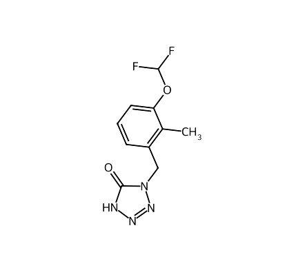 Cc1c(Cn2nn[nH]c2=O)cccc1OC(F)F